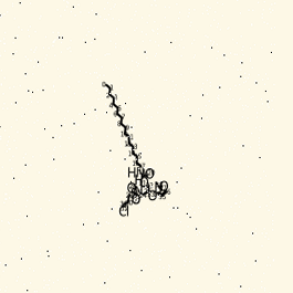 CCCCCCCCCCCCCCCCCCNC(=O)OCC(CNS(=O)(=O)CCCCl)Oc1ccon1